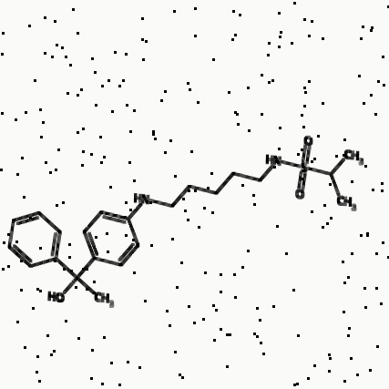 CC(C)S(=O)(=O)NCCCCCNc1ccc(C(C)(O)c2ccccc2)cc1